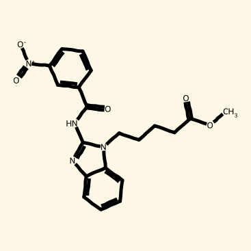 COC(=O)CCCCn1c(NC(=O)c2cccc([N+](=O)[O-])c2)nc2ccccc21